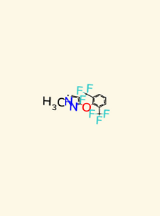 Cn1[c]cc(Oc2c(C(F)(F)F)cccc2C(F)(F)F)n1